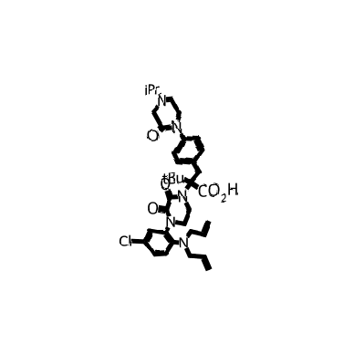 C=CCN(CC=C)c1ccc(Cl)cc1N1CCN(C(Cc2ccc(N3CCN(C(C)C)CC3=O)cc2)(C(=O)O)C(C)(C)C)C(=O)C1=O